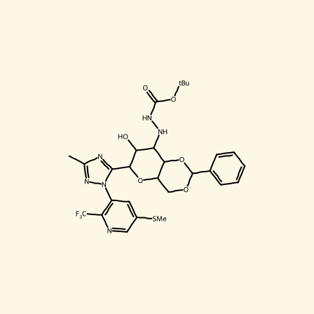 CSc1cnc(C(F)(F)F)c(-n2nc(C)nc2C2OC3COC(c4ccccc4)OC3C(NNC(=O)OC(C)(C)C)C2O)c1